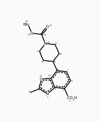 Cc1nc2c(C(=O)O)ccc(C3CCN(C(=O)OC(C)(C)C)CC3)c2o1